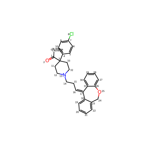 CNC(=O)C1(c2ccc(Cl)cc2)CCN(CCC=C2c3ccccc3COc3ccccc32)CC1